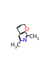 Cc1cc2c(c(C)n1)OCC=C2